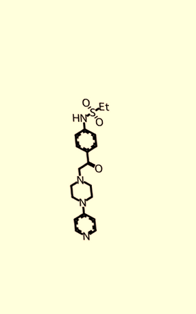 CCS(=O)(=O)Nc1ccc(C(=O)CN2CCN(c3ccncc3)CC2)cc1